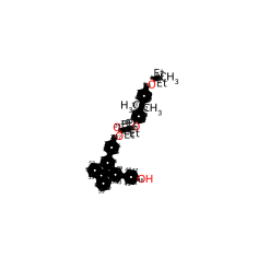 CCC(C)(CC)COCc1ccc(C(C)(C)c2ccc(OC(CC)(CC)C(CC)(CC)C(=O)OCc3ccc(-c4ccc(C5(c6ccc(-c7ccc(O)cc7)cc6)c6ccccc6-c6ccccc65)cc4)cc3)cc2)cc1